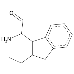 CCC1Cc2ccccc2C1C(N)C=O